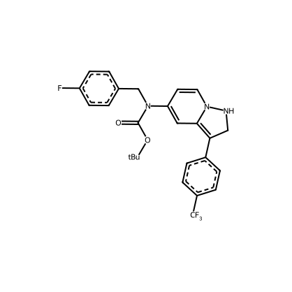 CC(C)(C)OC(=O)N(Cc1ccc(F)cc1)C1=CC2=C(c3ccc(C(F)(F)F)cc3)CNN2C=C1